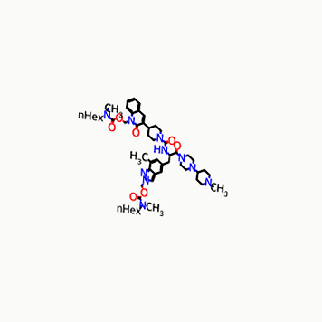 CCCCCCN(C)C(=O)OCn1cc2cc(C[C@@H](NC(=O)N3CCC(c4cc5ccccc5n(COC(=O)N(C)CCCCCC)c4=O)CC3)C(=O)N3CCN(C4CCN(C)CC4)CC3)cc(C)c2n1